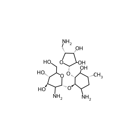 C[C@@H]1CC(N)[C@@H](O[C@H]2OC(CO)[C@@H](O)[C@H](O)C2N)[C@H](O[C@@H]2O[C@H](CN)[C@H](O)C2O)C1O